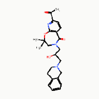 CC(=O)c1ccc2c(n1)OC(C)(C)CN(CC(O)CN1CCc3ccccc3C1)C2=O